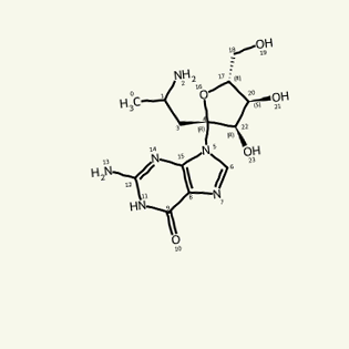 CC(N)C[C@@]1(n2cnc3c(=O)[nH]c(N)nc32)O[C@H](CO)[C@@H](O)[C@H]1O